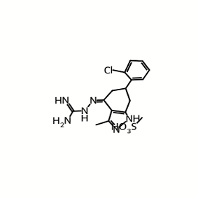 CS(=O)(=O)O.Cc1n[nH]c2c1/C(=N\NC(=N)N)CC(c1ccccc1Cl)C2